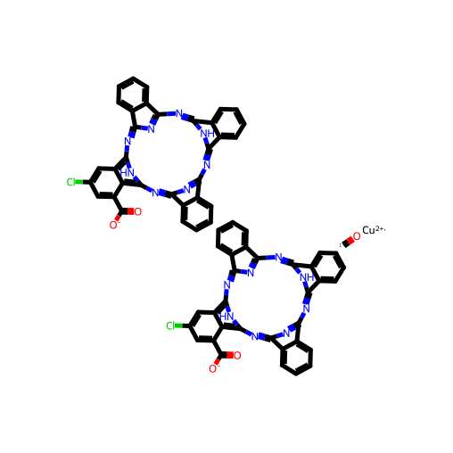 O=C([O-])c1cc(Cl)cc2c3nc4nc(nc5[nH]c(nc6nc(nc([nH]3)c12)-c1ccccc1-6)c1ccccc51)-c1ccccc1-4.O=C([O-])c1cc(Cl)cc2c3nc4nc(nc5[nH]c(nc6nc(nc([nH]3)c12)-c1ccccc1-6)c1ccccc51)-c1ccccc1-4.[C]=O.[Cu+2]